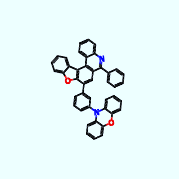 c1ccc(-c2nc3ccccc3c3c2cc(-c2cccc(N4c5ccccc5Oc5ccccc54)c2)c2oc4ccccc4c23)cc1